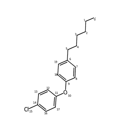 [CH2]CCCCCc1ccc(Oc2ccc(Cl)cc2)cc1